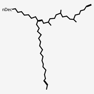 C=CCCCCC(C)CCCC(C)CCCC(C)CC=C(CCCCCCCCCCCCCCCCC)CCCCCCCCCCCCCCCCC=CC